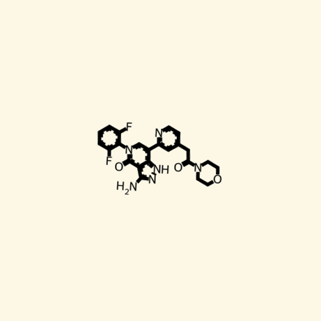 Nc1n[nH]c2c(-c3cc(CC(=O)N4CCOCC4)ccn3)cn(-c3c(F)cccc3F)c(=O)c12